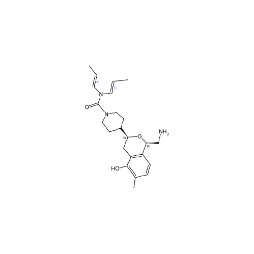 C/C=C/N(/C=C/C)C(=O)N1CCC([C@@H]2Cc3c(ccc(C)c3O)[C@H](CN)O2)CC1